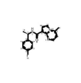 Cc1ccnc2c(C(=O)N[C@H](C)c3ccc(F)cc3)ccn12